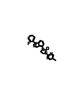 Cc1cnc(N2CCN(c3cccc4c3cnn4-c3ccccc3F)C2=O)nc1